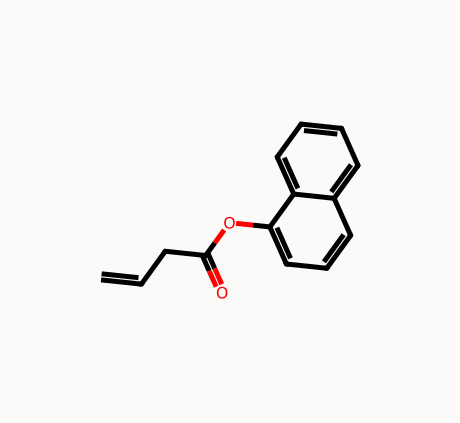 C=CCC(=O)Oc1cccc2ccccc12